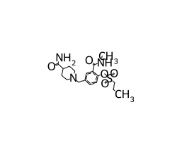 CCCS(=O)(=O)Oc1ccc(CN2CCC(C(N)=O)CC2)cc1C(=O)NC